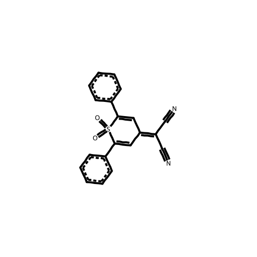 N#CC(C#N)=C1C=C(c2ccccc2)S(=O)(=O)C(c2ccccc2)=C1